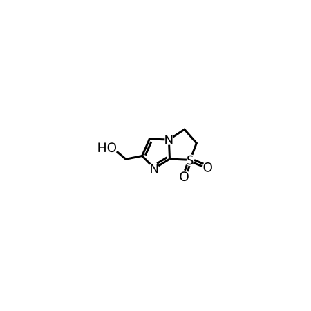 O=S1(=O)CCn2cc(CO)nc21